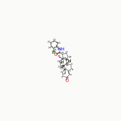 C[C@]12CCC(=O)C=C1CC[C@@H]1[C@H]2CC[C@]2(C)C(C(=O)Nc3ccccc3Br)CC[C@@H]12